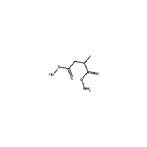 CC(CC(=O)OC(C)(C)C)C(=O)ON